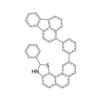 c1ccc(C2Nc3ccc4ccc5ccc(-c6cccc(-c7ccc8c9c(cccc79)-c7ccccc7-8)c6)cc5c4c3S2)cc1